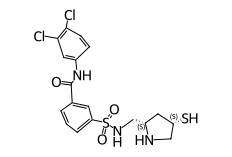 O=C(Nc1ccc(Cl)c(Cl)c1)c1cccc(S(=O)(=O)NC[C@@H]2C[C@H](S)CN2)c1